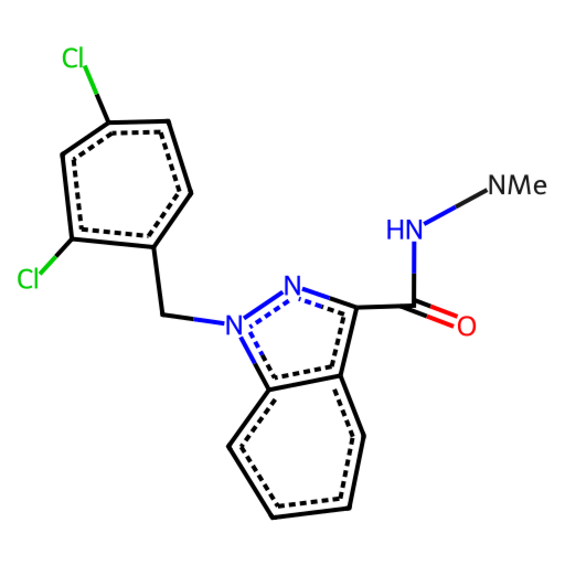 CNNC(=O)c1nn(Cc2ccc(Cl)cc2Cl)c2ccccc12